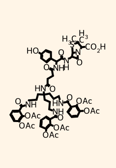 CC(=O)Oc1cccc(C(=O)NCCCC(CCCNC(=O)c2cccc(OC(C)=O)c2OC(C)=O)(CCCNC(=O)c2cccc(OC(C)=O)c2OC(C)=O)NC(=O)CCC(=O)NC(C(=O)NC2C(=O)N3C2SC(C)(C)C3C(=O)O)c2ccc(O)cc2)c1OC(C)=O